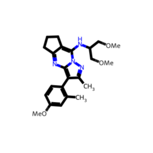 COCC(COC)Nc1c2c(nc3c(-c4ccc(OC)cc4C)c(C)nn13)CCC2